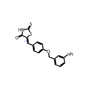 CCCc1cccc(COc2ccc(/C=C3\SC(=S)NC3=O)cc2)c1